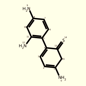 NC1=CC=C(c2ccc(N)cc2N)C(=S)C1